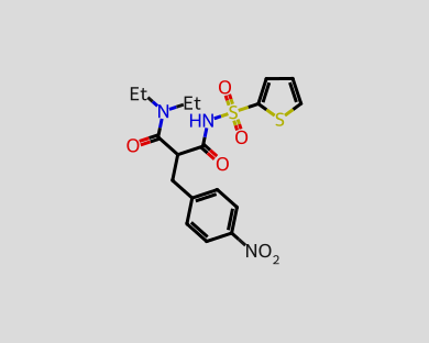 CCN(CC)C(=O)C(Cc1ccc([N+](=O)[O-])cc1)C(=O)NS(=O)(=O)c1cccs1